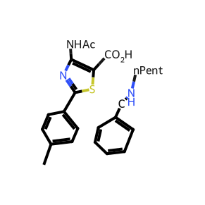 CC(=O)Nc1nc(-c2ccc(C)cc2)sc1C(=O)O.CCCCCNCc1ccccc1